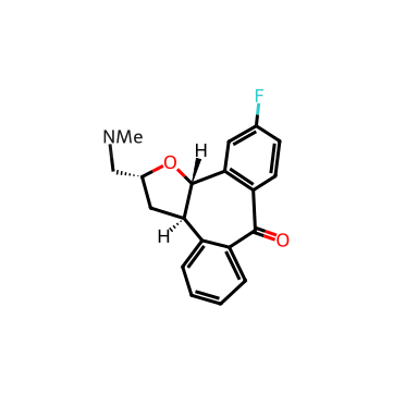 CNC[C@H]1C[C@@H]2c3ccccc3C(=O)c3ccc(F)cc3[C@H]2O1